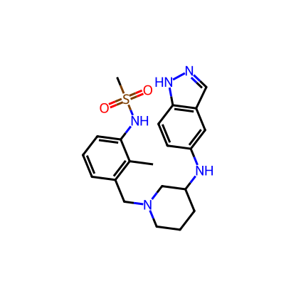 Cc1c(CN2CCCC(Nc3ccc4[nH]ncc4c3)C2)cccc1NS(C)(=O)=O